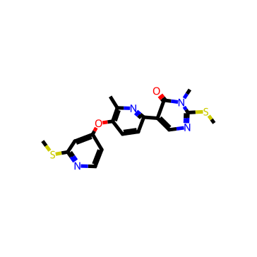 CSc1cc(Oc2ccc(-c3cnc(SC)n(C)c3=O)nc2C)ccn1